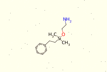 C[Si](C)(CCc1ccccc1)OCCN